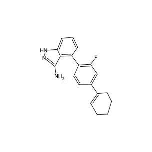 Nc1n[nH]c2cccc(-c3ccc(C4=CCCCC4)cc3F)c12